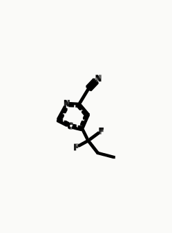 CCC(F)(F)c1ccnc(C#N)c1